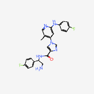 Cc1cnc(Nc2ccc(F)cc2)cc1-n1cnc(C(=O)NC(CN)c2ccc(F)cc2)c1